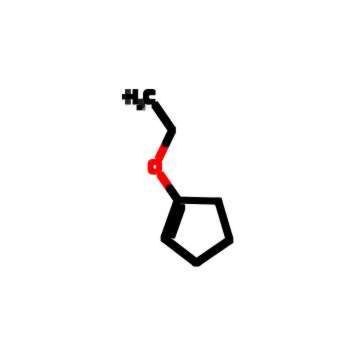 [CH2]COC1=CCCC1